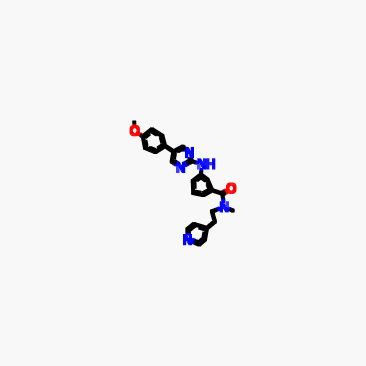 COc1ccc(-c2cnc(Nc3cccc(C(=O)N(C)CCc4ccncc4)c3)nc2)cc1